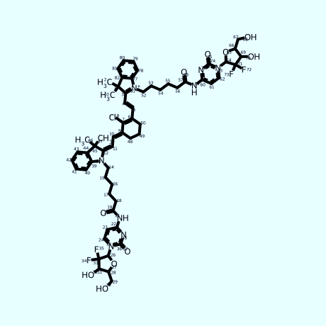 CC1(C)C(/C=C/C2=C(Cl)C(=C/C=C3/N(CCCCCC(=O)Nc4ccn(C5OC(CO)C(O)C5(F)F)c(=O)n4)c4ccccc4C3(C)C)/CCC2)=[N+](CCCCCC(=O)Nc2ccn(C3OC(CO)C(O)C3(F)F)c(=O)n2)c2ccccc21